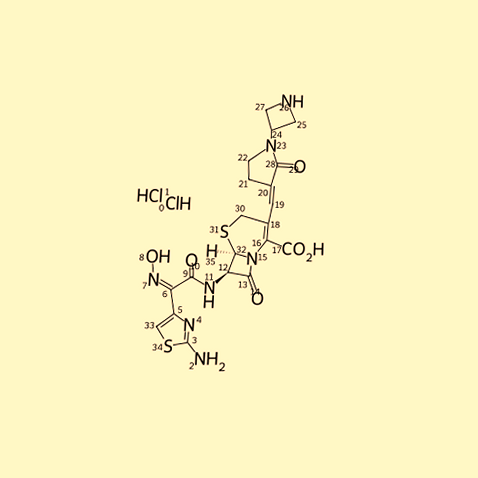 Cl.Cl.Nc1nc(/C(=N/O)C(=O)N[C@@H]2C(=O)N3C(C(=O)O)=C(/C=C4\CCN(C5CNC5)C4=O)CS[C@H]23)cs1